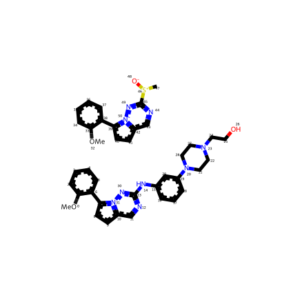 COc1ccccc1-c1ccc2cnc(Nc3cccc(N4CCN(CCO)CC4)c3)nn12.COc1ccccc1-c1ccc2cnc([S+](C)[O-])nn12